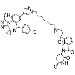 Cc1nnc2n1-c1ccc(-c3cnn(CCCCCCCN4CCC(O)(c5cccc6c5CN(C5CCC(=O)NC5=O)C6=O)CC4)c3)cc1C(c1ccc(Cl)cc1)=NC21CC1